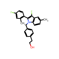 Cc1ccc2c(c1)c(F)c(-c1ccc(F)cc1C)n2Cc1ccc(CCO)cc1